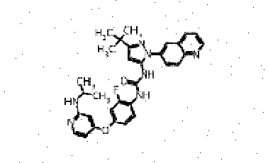 CC(C)Nc1cc(Oc2ccc(NC(=O)Nc3cc(C(C)(C)C)nn3-c3ccc4ncccc4c3)c(F)c2)ccn1